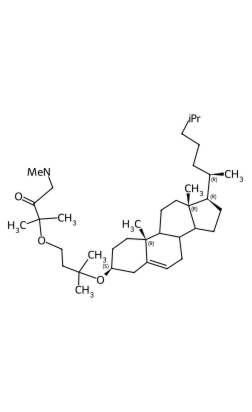 CNCC(=O)C(C)(C)OCCC(C)(C)O[C@H]1CC[C@@]2(C)C(=CCC3C2CC[C@@]2(C)C3CC[C@@H]2[C@H](C)CCCC(C)C)C1